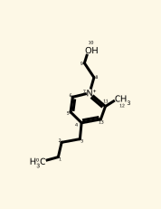 CCCCc1cc[n+](CCO)c(C)c1